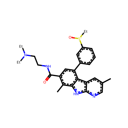 CCN(CC)CCNC(=O)c1cc(-c2cccc([S+]([O-])CC)c2)c2c([nH]c3ncc(C)cc32)c1C